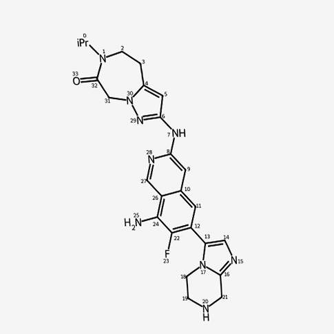 CC(C)N1CCc2cc(Nc3cc4cc(-c5cnc6n5CCNC6)c(F)c(N)c4cn3)nn2CC1=O